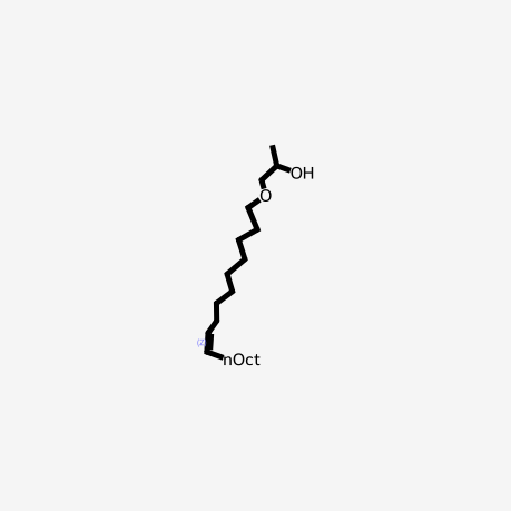 CCCCCCCC/C=C\CCCCCCCCOCC(C)O